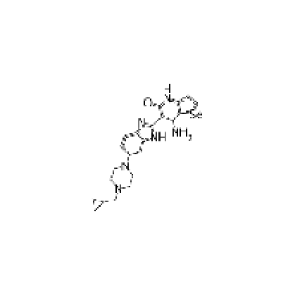 Nc1c(-c2nc3ccc(N4CCN(CC5CC5)CC4)cc3[nH]2)c(=O)[nH]c2cc[se]c12